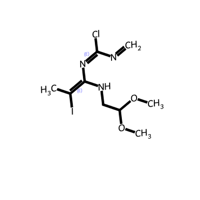 C=N/C(Cl)=N\C(NCC(OC)OC)=C(/C)I